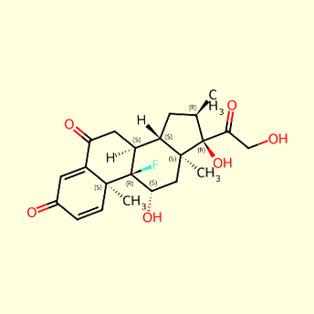 C[C@@H]1C[C@H]2[C@@H]3CC(=O)C4=CC(=O)C=C[C@]4(C)[C@@]3(F)[C@@H](O)C[C@]2(C)[C@@]1(O)C(=O)CO